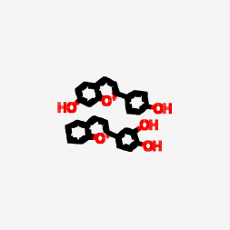 Oc1ccc(-c2ccc3ccc(O)cc3[o+]2)cc1.Oc1ccc(-c2ccc3ccccc3[o+]2)cc1O